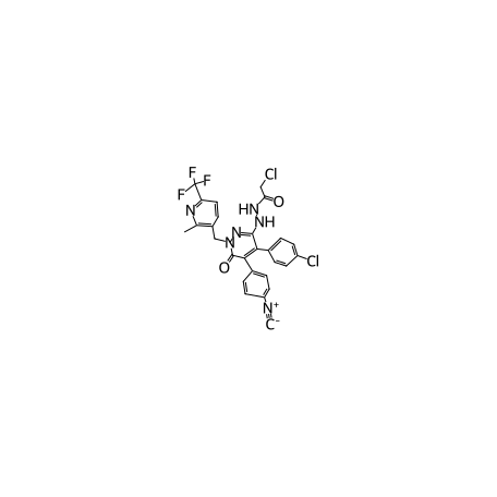 [C-]#[N+]c1ccc(-c2c(-c3ccc(Cl)cc3)c(NNC(=O)CCl)nn(Cc3ccc(C(F)(F)F)nc3C)c2=O)cc1